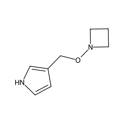 c1cc(CON2CCC2)c[nH]1